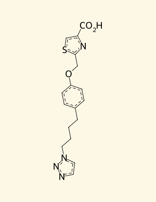 O=C(O)c1csc(COc2ccc(CCCCn3ccnn3)cc2)n1